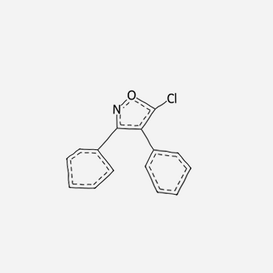 Clc1onc(-c2ccccc2)c1-c1ccccc1